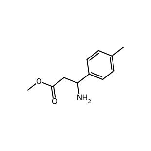 COC(=O)CC(N)c1ccc(C)cc1